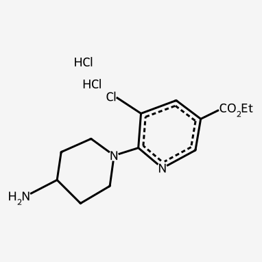 CCOC(=O)c1cnc(N2CCC(N)CC2)c(Cl)c1.Cl.Cl